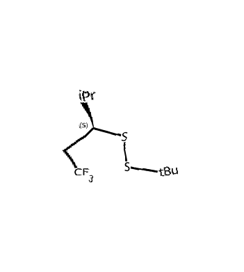 CC(C)[C@H](CC(F)(F)F)SSC(C)(C)C